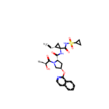 C=C[C@@H]1C[C@]1(NC(=O)[C@@H]1C[C@@H](Oc2nccc3ccccc23)CN1C(=O)[C@@H](O)C(C)(C)C)C(=O)NS(=O)(=O)C1CC1